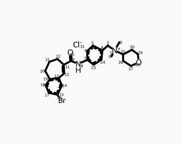 C[N+](C)(Cc1ccc(NC(=O)C2=Cc3cc(Br)ccc3CCC2)cc1)C1CCOCC1.[Cl-]